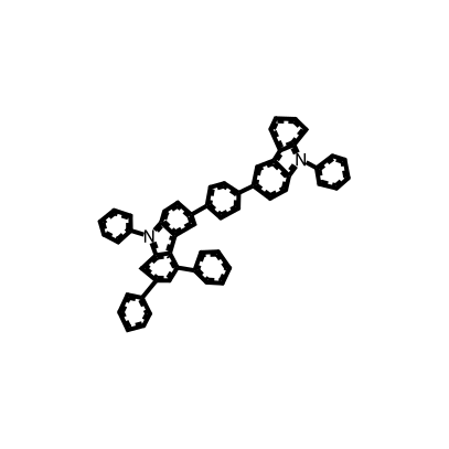 c1ccc(-c2cc(-c3ccccc3)c3c4cc(-c5ccc(-c6ccc7c(c6)c6ccccc6n7-c6ccccc6)cc5)ccc4n(-c4ccccc4)c3c2)cc1